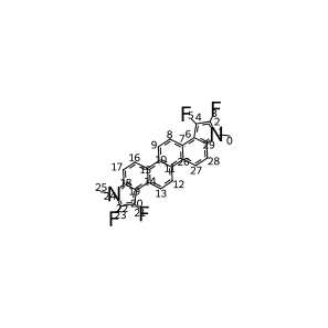 Cn1c(F)c(F)c2c3ccc4c(ccc5c4ccc4c5c(F)c(F)n4C)c3ccc21